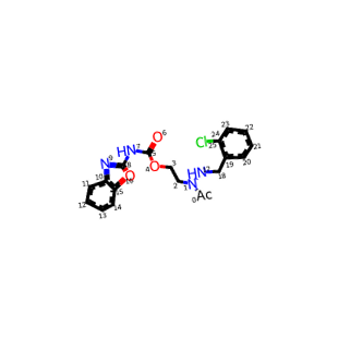 CC(=O)N(CCOC(=O)Nc1nc2ccccc2o1)NCc1ccccc1Cl